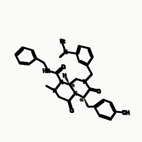 CCN(C)c1cccc(CN2C[C@H]3N(C(=O)CN(C)N3C(=O)NCc3ccccc3)[C@@H](Cc3ccc(O)cc3)C2=O)c1